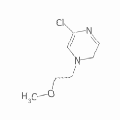 COCCN1C=C(Cl)N=CC1